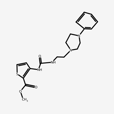 COC(=O)c1sccc1NC(=O)NCCN1CCN(c2ccccc2)CC1